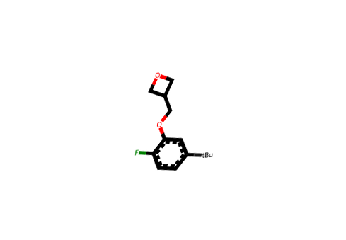 CC(C)(C)c1ccc(F)c(OCC2COC2)c1